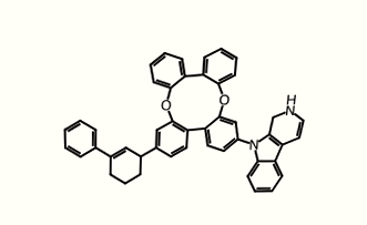 C1=Cc2c(n(-c3ccc4c(c3)Oc3ccccc3-c3ccccc3Oc3cc(C5C=C(c6ccccc6)CCC5)ccc3-4)c3ccccc23)CN1